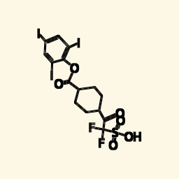 O=C(Oc1c(I)cc(I)cc1I)C1CCC(C(=O)C(F)(F)S(=O)(=O)O)CC1